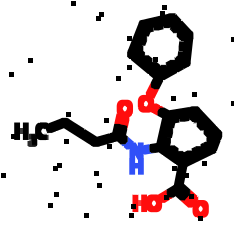 CCCC(=O)Nc1c(Oc2ccccc2)cccc1C(=O)O